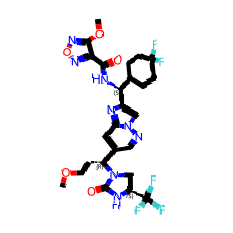 COCC[C@H](c1cnn2cc([C@@H](NC(=O)c3nonc3OC)C3CCC(F)(F)CC3)nc2c1)N1C[C@@H](C(F)(F)F)NC1=O